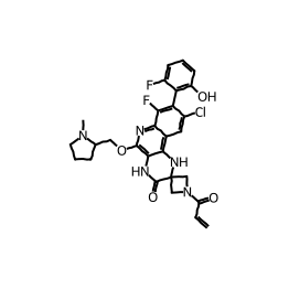 C=CC(=O)N1CC2(C1)Nc1c(c(OCC3CCCN3C)nc3c(F)c(-c4c(O)cccc4F)c(Cl)cc13)NC2=O